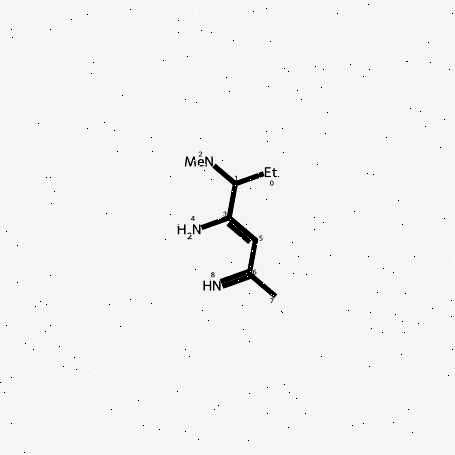 CCC(NC)/C(N)=C/C(C)=N